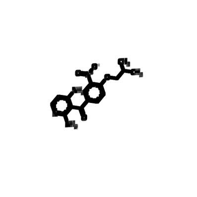 CC(C)COc1ccc(C(=O)c2c(N)ccnc2N)cc1[N+](=O)[O-]